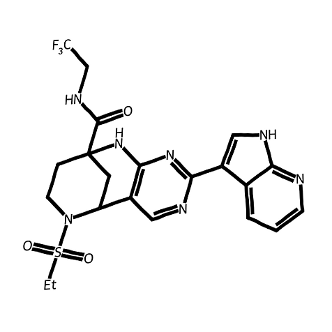 CCS(=O)(=O)N1CCC2(C(=O)NCC(F)(F)F)CC1c1cnc(-c3c[nH]c4ncccc34)nc1N2